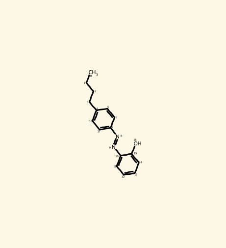 CCCCc1ccc(/N=N/c2ccccc2O)cc1